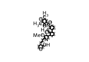 COc1cc(-c2cccc(-c3cccc(NC(=O)C4=CC(C)C(=O)C(C)C4=O)c3C)c2Cl)cnc1C/C=C/[C@@H]1CCOC[C@@H]1O